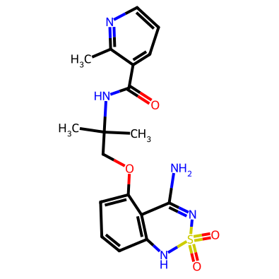 Cc1ncccc1C(=O)NC(C)(C)COc1cccc2c1C(N)=NS(=O)(=O)N2